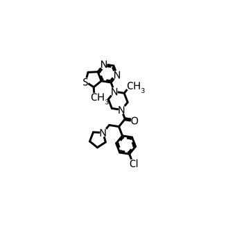 CC1SCc2ncnc(N3CCN(C(=O)C(CN4CCCC4)c4ccc(Cl)cc4)CC3C)c21